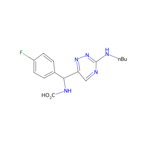 CCCCNc1ncc(C(NC(=O)O)c2ccc(F)cc2)nn1